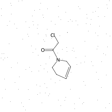 O=C(CCl)N1CC=CCC1